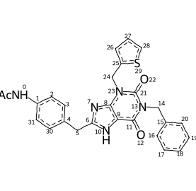 CC(=O)Nc1ccc(Cc2nc3c([nH]2)c(=O)n(Cc2ccccc2)c(=O)n3Cc2cccs2)cc1